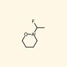 C[CH](F)[Al]1[CH2]CCC[O]1